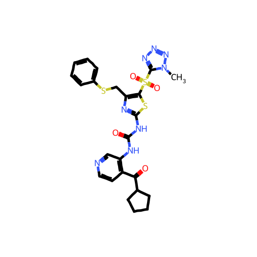 Cn1nnnc1S(=O)(=O)c1sc(NC(=O)Nc2cnccc2C(=O)C2CCCC2)nc1CSc1ccccc1